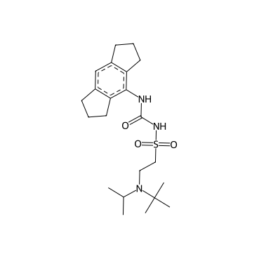 CC(C)N(CCS(=O)(=O)NC(=O)Nc1c2c(cc3c1CCC3)CCC2)C(C)(C)C